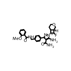 COc1ccccc1C(=O)NCc1ccc(-c2nn([C@@H]3C(F)[C@H]4COCCC43)c(N)c2C(N)=O)cc1